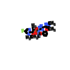 COc1cccc(OC)c1-n1c(NS(=O)(=O)C(C)C(OC)c2ncc(F)cn2)nnc1-c1ccn(C)n1